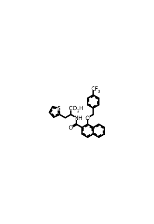 O=C(NC(Cc1cccs1)C(=O)O)c1ccc2ccccc2c1OCc1ccc(C(F)(F)F)cc1